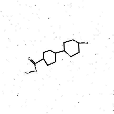 N#COC(=O)C1CCC(C2CCC(O)CC2)CC1